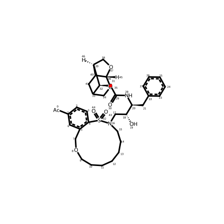 CC(=O)c1ccc2c(c1)COCCCCCCCN(C[C@@H](O)[C@H](Cc1ccccc1)NC(=O)O[C@H]1C3CO[C@H]4OC[C@@H]1C4C3)S2(=O)=O